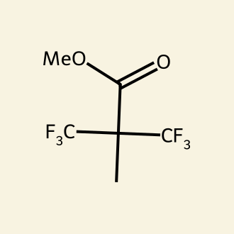 COC(=O)C(C)(C(F)(F)F)C(F)(F)F